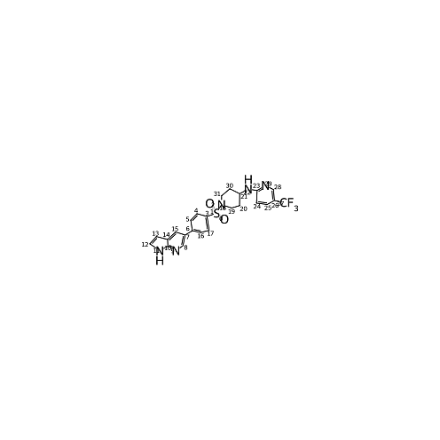 O=S(=O)(c1ccc(-c2cnc3[nH]ccc3c2)cc1)N1CCC(Nc2ccc(C(F)(F)F)cn2)CC1